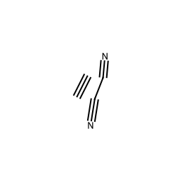 C#C.N#CC#N